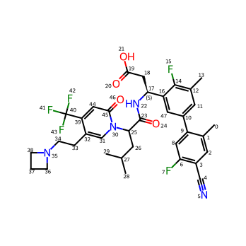 Cc1cc(C#N)c(F)cc1-c1cc(C)c(F)c([C@H](CC(=O)O)NC(=O)C(CC(C)C)n2cc(CCN3CCC3)c(C(F)(F)F)cc2=O)c1